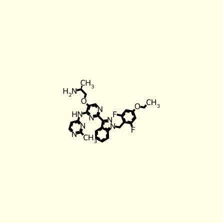 CCOc1cc(F)c(Cn2nc(-c3ncc(OC[C@H](C)N)c(Nc4ccnc(C)n4)n3)c3ccccc32)c(F)c1